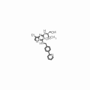 CCc1cnn2c(NCc3ccc(-c4ccccn4)cc3)nc(N[C@@H](CO)[C@H](C)O)nc12